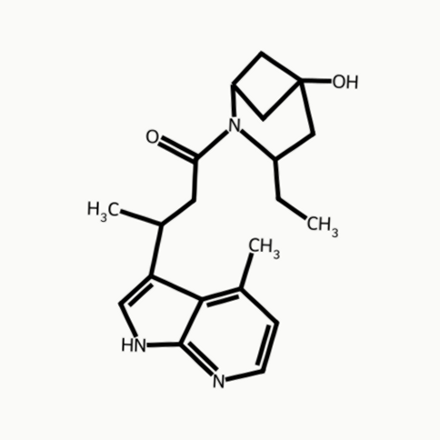 CCC1CC2(O)CC(C2)N1C(=O)CC(C)c1c[nH]c2nccc(C)c12